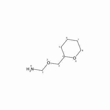 NCOCC1CCCCO1